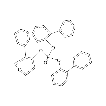 O=P(Oc1ccccc1-c1ccccc1)(Oc1ccccc1-c1ccccc1)Oc1ccccc1-c1ccccc1